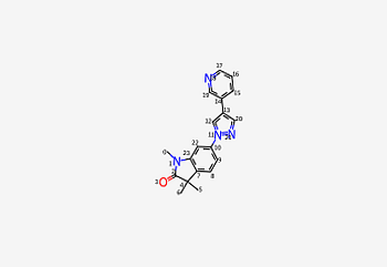 CN1C(=O)C(C)(C)c2ccc(-n3cc(-c4cccnc4)cn3)cc21